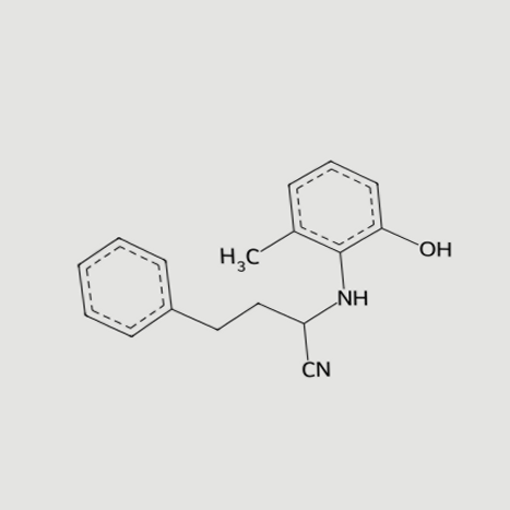 Cc1cccc(O)c1NC(C#N)CCc1ccccc1